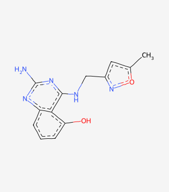 Cc1cc(CNc2nc(N)nc3cccc(O)c23)no1